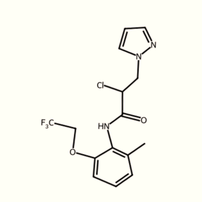 Cc1cccc(OCC(F)(F)F)c1NC(=O)C(Cl)Cn1cccn1